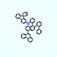 c1ccc(-c2ccccc2-c2ccccc2-c2ccccc2N(c2ccc(-c3cc4ccccc4c4ccccc34)cc2)c2ccc3c(c2)C2(CC4CCC2C4)c2ccccc2-3)cc1